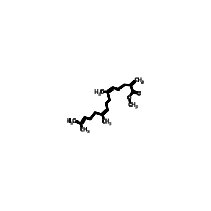 C=C(CCC=C(C)CCC=C(C)CCC=C(C)C)C(=O)OC